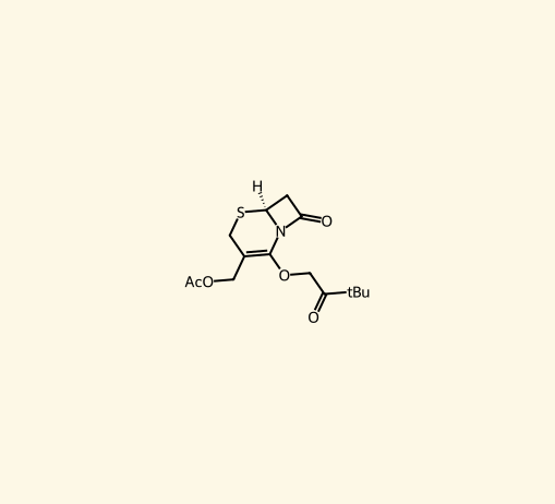 CC(=O)OCC1=C(OCC(=O)C(C)(C)C)N2C(=O)C[C@@H]2SC1